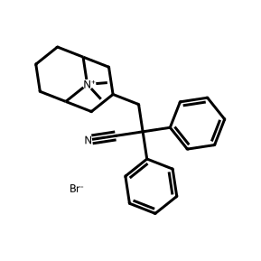 C[N+]1(C)C2CCCC1CC(CC(C#N)(c1ccccc1)c1ccccc1)C2.[Br-]